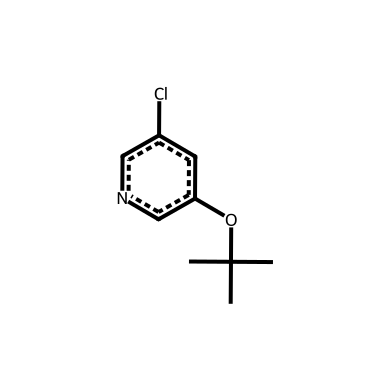 CC(C)(C)Oc1cncc(Cl)c1